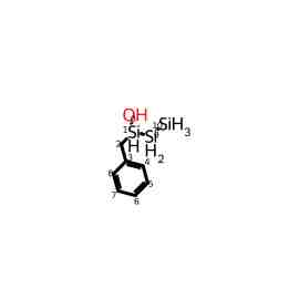 O[SiH](Cc1ccccc1)[SiH2][SiH3]